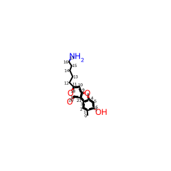 Cc1cc2c(cc1O)oc1cc(CCCCCN)oc(=O)c12